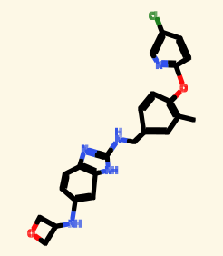 Cc1cc(CNc2nc3ccc(NC4COC4)cc3[nH]2)ccc1Oc1ccc(Cl)cn1